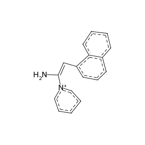 NC(=Cc1cccc2ccccc12)[n+]1ccccc1